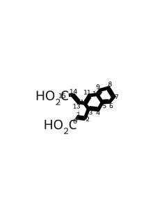 O=C(O)/C=C/c1cc2ccccc2cc1/C=C/C(=O)O